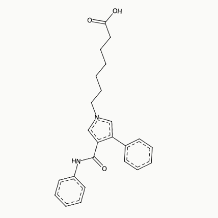 O=C(O)CCCCCCn1cc(C(=O)Nc2ccccc2)c(-c2ccccc2)c1